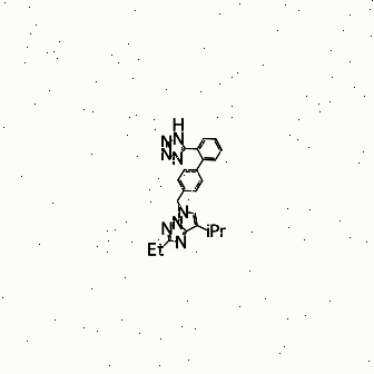 CCc1nc2c(C(C)C)cn(Cc3ccc(-c4ccccc4-c4nnn[nH]4)cc3)n2n1